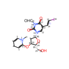 CN1C=CCC=C1O[C@H]1C[C@H](n2cc(/C=C/I)c(=O)n(C=O)c2=O)O[C@@H]1CO